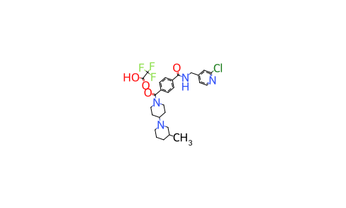 CC1CCCN(C2CCN(C(=O)c3ccc(C(=O)NCc4ccnc(Cl)c4)cc3)CC2)C1.O=C(O)C(F)(F)F